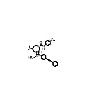 COc1ccc(NC(=O)N2CCC(N(C)C)CN3[C@H](CO)[C@H](c4ccc(C#Cc5ccccc5)cc4)[C@@H]3C2)cc1